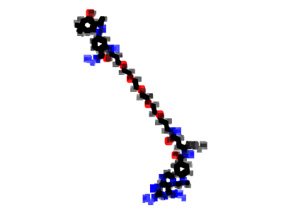 Cc1nn(-c2ccc(C(N)=O)c(NCCCOCCOCCOCCOCCOCCCNC(=O)CC[C@H](NC(=O)c3ccc(N(C)CN4C=CN=C5NC(N)=NC(N)=C54)cc3)C(=O)O)c2)c2c1C(=O)CC(C)(C)C2